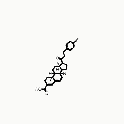 C[C@]12CCC(C(=O)O)=CC1=CC[C@@H]1[C@H]2CC[C@]2(C)C(C(=O)CCc3ccc(F)cc3)CC[C@@H]12